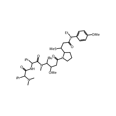 CCC(C)C(C(CC(=O)N1CCCC1C(CC(=O)N(CC)c1ccc(OC)cc1)SC)OC)N(C)C(=O)C(NC(=O)C(C(C)C)N(C)C)C(C)C